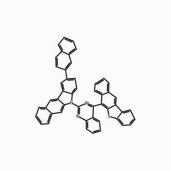 c1ccc2cc(-c3ccc4c(c3)c3cc5ccccc5cc3n4-c3nc(-c4c5ccccc5cc5c4sc4ccccc45)c4ccccc4n3)ccc2c1